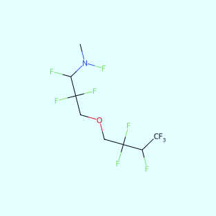 CN(F)C(F)C(F)(F)COCC(F)(F)C(F)C(F)(F)F